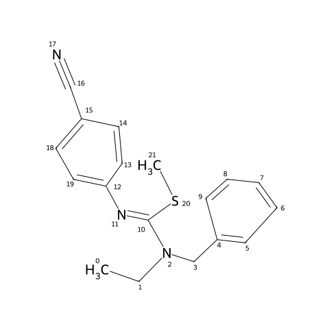 CCN(Cc1ccccc1)C(=Nc1ccc(C#N)cc1)SC